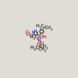 CC(C)c1ccc([C@](O)(c2cnnc(O[C@H]3CCOC3)c2)C2(C)CN(C(=O)OC(C)(C)C)C2)cc1